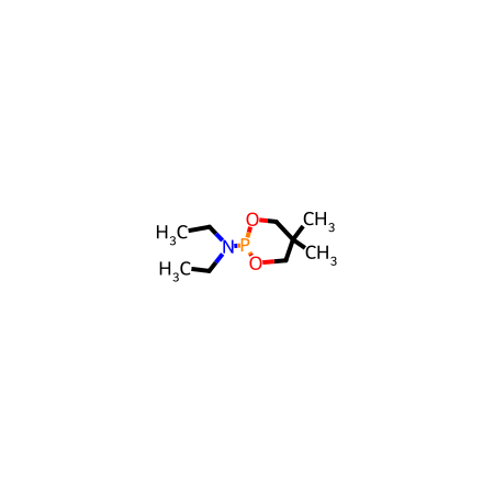 CCN(CC)P1OCC(C)(C)CO1